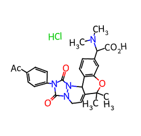 CC(=O)c1ccc(-n2c(=O)n3n(c2=O)C2C(=CC3)C(C)(C)Oc3cc(C(C(=O)O)N(C)C)ccc32)cc1.Cl